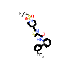 O=C(Nc1ccccc1-c1cccc(C(F)(F)F)c1)c1csc(C2CCN(S(=O)(=O)CC(F)(F)F)CC2)n1